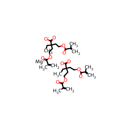 C=C(C)C(=O)OCCC(CC)(CCOC(=O)C(=C)C)C(=O)[O-].C=C(C)C(=O)OCCC(CC)(CCOC(=O)C(=C)C)C(=O)[O-].[Mg+2]